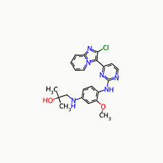 COc1cc(NCC(C)(C)O)ccc1Nc1nccc(-c2c(Cl)nc3ccccn23)n1